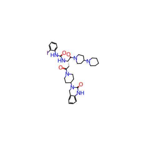 O=C(Nc1ccccc1I)N[C@@H](CC(=O)N1CCC(N2Cc3ccccc3NC2=O)CC1)C(=O)N1CCC(N2CCCCC2)CC1